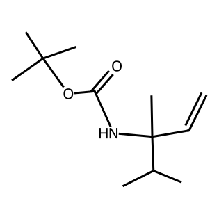 C=CC(C)(NC(=O)OC(C)(C)C)C(C)C